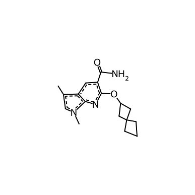 Cc1cn(C)c2nc(OC3CC4(CCC4)C3)c(C(N)=O)cc12